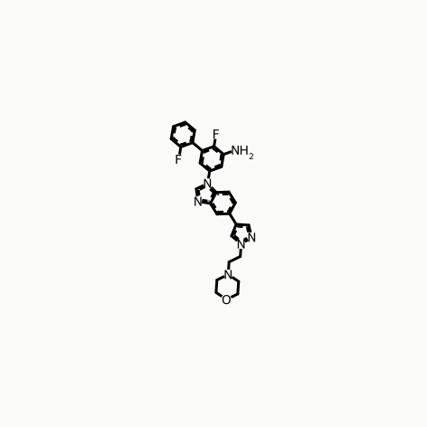 Nc1cc(-n2cnc3cc(-c4cnn(CCN5CCOCC5)c4)ccc32)cc(-c2ccccc2F)c1F